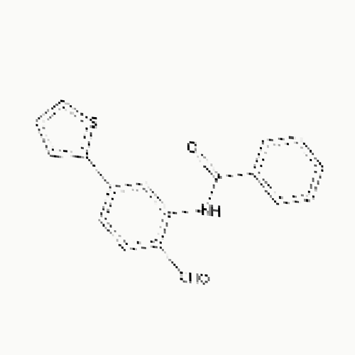 O=Cc1ccc(-c2cccs2)cc1NC(=O)c1ccccc1